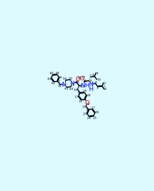 CC(C)=CCN[C@@H](CC(C)C)C(=O)N[C@@H](Cc1ccc(OCc2ccccc2)cc1)C(=O)N1CCN(Cc2ccccc2)CC1